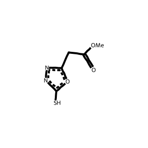 COC(=O)Cc1nnc(S)o1